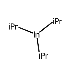 C[CH](C)[In]([CH](C)C)[CH](C)C